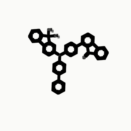 CC1(C)c2ccccc2-c2ccc(N(c3ccc(-c4ccccc4)cc3)c3ccc(-c4cccc5c4C(=O)c4ccccc4-5)cc3)cc21